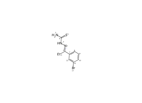 CC/C(=N\NC(N)=S)c1cccc(Br)c1